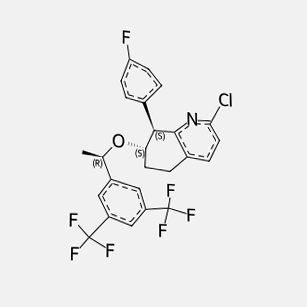 C[C@@H](O[C@H]1CCc2ccc(Cl)nc2[C@@H]1c1ccc(F)cc1)c1cc(C(F)(F)F)cc(C(F)(F)F)c1